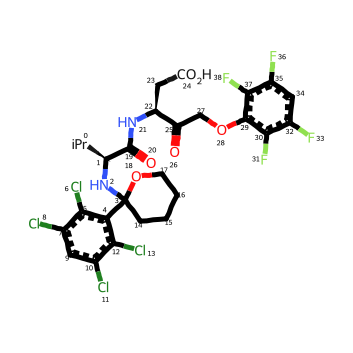 CC(C)[C@H](NC1(c2c(Cl)c(Cl)cc(Cl)c2Cl)CCCCO1)C(=O)N[C@@H](CC(=O)O)C(=O)COc1c(F)c(F)cc(F)c1F